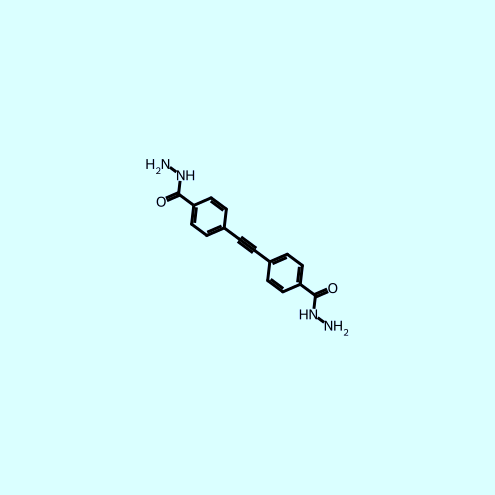 NNC(=O)c1ccc(C#Cc2ccc(C(=O)NN)cc2)cc1